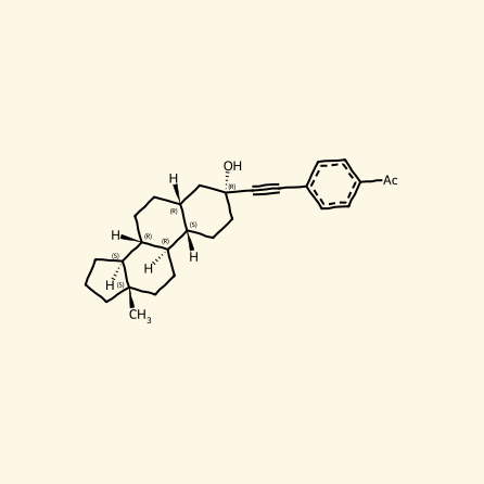 CC(=O)c1ccc(C#C[C@@]2(O)CC[C@H]3[C@H](CC[C@@H]4[C@@H]3CC[C@]3(C)CCC[C@@H]43)C2)cc1